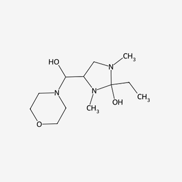 CCC1(O)N(C)CC(C(O)N2CCOCC2)N1C